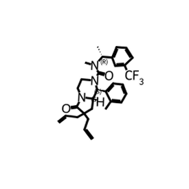 C=CCC1(CC=C)C[C@H]2[C@H](c3ccccc3C)N(C(=O)N(C)[C@H](C)c3cccc(C(F)(F)F)c3)CCN2C1=O